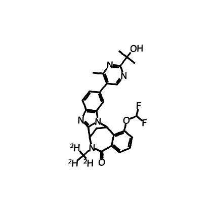 [2H]C([2H])([2H])N1C(=O)c2cccc(OC(F)F)c2C2CC1c1nc3ccc(-c4cnc(C(C)(C)O)nc4C)cc3n12